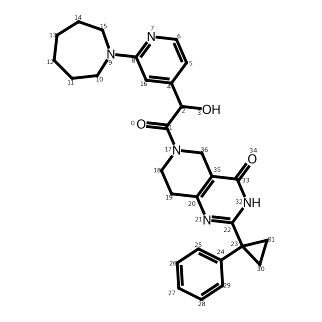 O=C(C(O)c1ccnc(N2CCCCCC2)c1)N1CCc2nc(C3(c4ccccc4)CC3)[nH]c(=O)c2C1